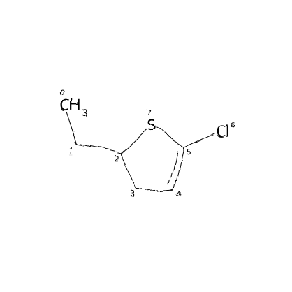 CCC1CC=C(Cl)S1